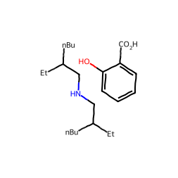 CCCCC(CC)CNCC(CC)CCCC.O=C(O)c1ccccc1O